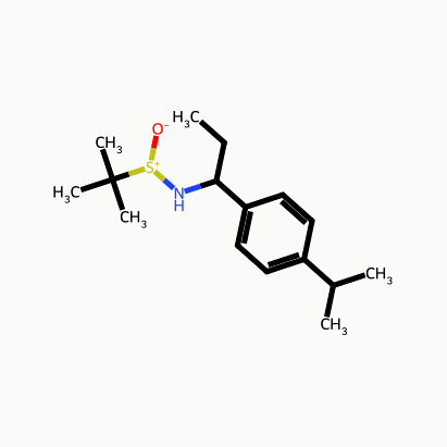 CCC(N[S+]([O-])C(C)(C)C)c1ccc(C(C)C)cc1